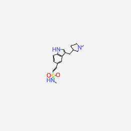 CNS(=O)(=O)C=Cc1ccc2[nH]cc(CC3CCN(C)C3)c2c1